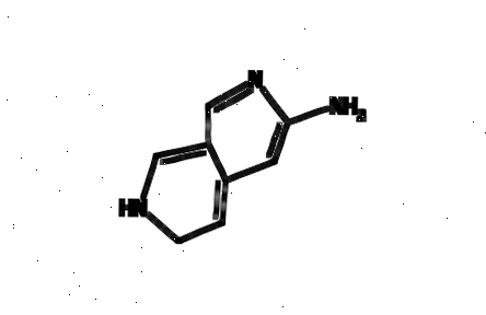 Nc1cc2c(cn1)=CNCC=2